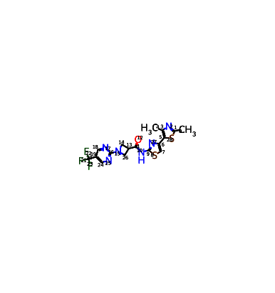 Cc1nc(C)c(-c2csc(NC(=O)C3CN(c4ncc(C(F)(F)F)cn4)C3)n2)s1